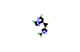 Fc1cnc2c([C@H]3C[C@@H]3c3cnn(C(F)F)c3)cc(Cl)nn12